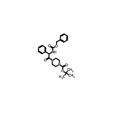 CC(C)(C)OC(=O)N1CCN(C(=O)C(NC(=O)OCc2ccccc2)c2ccccc2)CC1